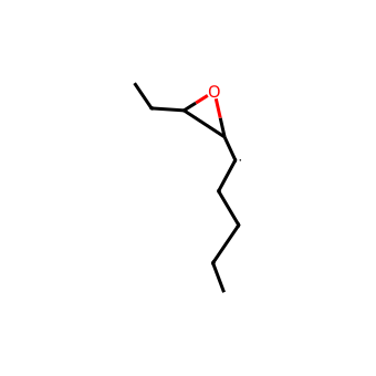 CCCC[CH]C1OC1CC